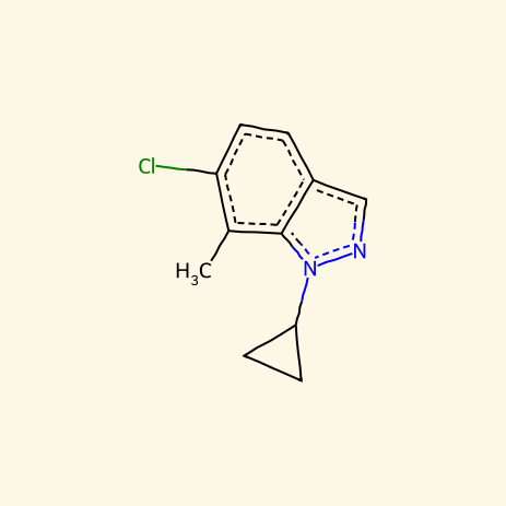 Cc1c(Cl)ccc2cnn(C3CC3)c12